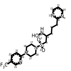 O=S(=O)(CC(CCCc1ncccn1)NO)N1CCN(c2ccc(C(F)(F)F)cn2)CC1